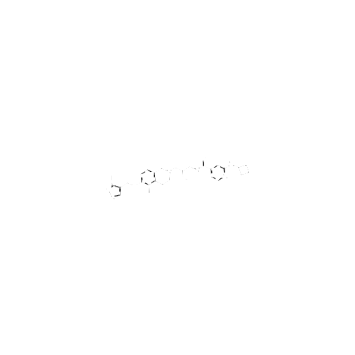 Cc1c(OCc2cnn[nH]2)ccc2c1CCN(CC(O)CNC(=O)c1ccnc(NC3CCC3)c1)C2